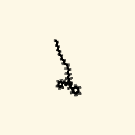 CCCCCCCCCCCCCCCCCCP(OCc1ccccc1)OCc1ccccc1